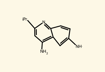 CC(C)c1cc(N)c2cc([NH])ccc2n1